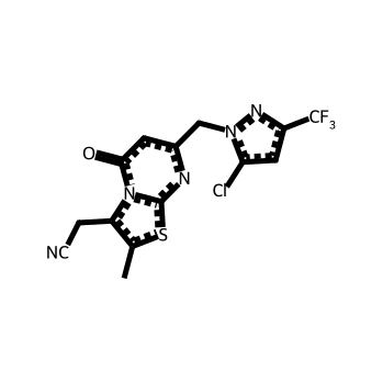 Cc1sc2nc(Cn3nc(C(F)(F)F)cc3Cl)cc(=O)n2c1CC#N